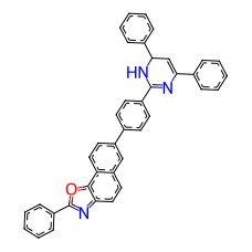 C1=C(c2ccccc2)N=C(c2ccc(-c3ccc4c(ccc5nc(-c6ccccc6)oc54)c3)cc2)NC1c1ccccc1